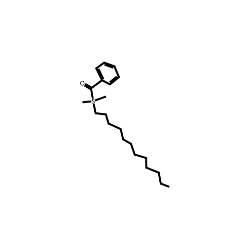 CCCCCCCCCCCCS(C)(C)C(=O)c1ccccc1